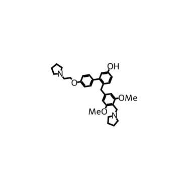 COc1cc(Cc2ccc(O)cc2-c2ccc(OCCN3CCCC3)cc2)cc(OC)c1CN1CCCC1